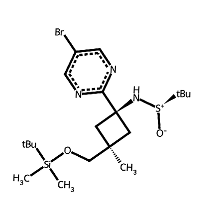 CC(C)(C)[S@@+]([O-])N[C@]1(c2ncc(Br)cn2)C[C@](C)(CO[Si](C)(C)C(C)(C)C)C1